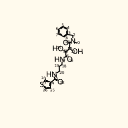 CN(Cc1ccccc1)C(=O)[C@H](O)[C@@H](O)C(=O)NCCCNC(=O)c1ccsc1